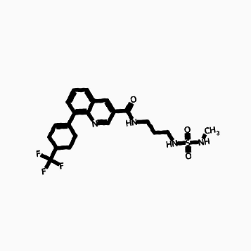 CNS(=O)(=O)NCCCNC(=O)c1cnc2c(C3=CCC(C(F)(F)F)CC3)cccc2c1